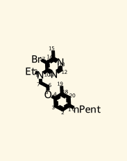 CCCCCc1ccc(OCCN(CC)c2ncnc(C)c2Br)c(C)c1